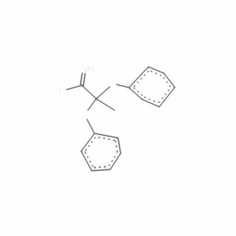 CC(Sc1ccccc1)(Sc1ccccc1)C(=N)S